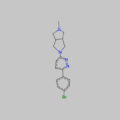 CN1CC2CN(c3ccc(-c4ccc(Br)cc4)nn3)CC2C1